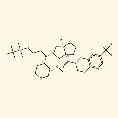 CO[C@@H]1COCC[C@@H]1N(CCO[Si](C)(C)C(C)(C)C)[C@@H]1C[C@H]2OCC[C@@]2(C(=O)N2CCc3ncc(C(F)(F)F)cc3C2)C1